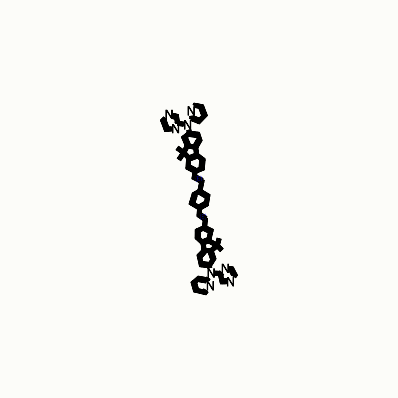 CC1(C)c2cc(/C=C/c3ccc(/C=C/c4ccc5c(c4)C(C)(C)c4cc(N(c6ccccn6)c6cnccn6)ccc4-5)cc3)ccc2-c2ccc(N(c3ccccn3)c3cnccn3)cc21